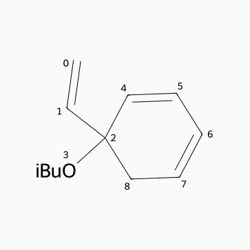 C=CC1(OCC(C)C)C=CC=CC1